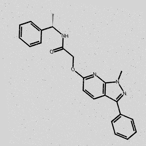 C[C@H](NC(=O)COc1ccc2c(-c3ccccc3)nn(C)c2n1)c1ccccc1